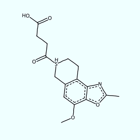 COc1cc2c(c3nc(C)oc13)CC[SH](C(=O)CCC(=O)O)C2